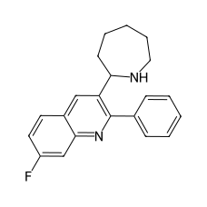 Fc1ccc2cc(C3CCCCCN3)c(-c3ccccc3)nc2c1